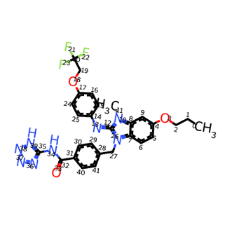 CCCOc1ccc2c(c1)n(C)c(=Nc1ccc(OCC(F)(F)F)cc1)n2Cc1ccc(C(=O)Nc2nnn[nH]2)cc1